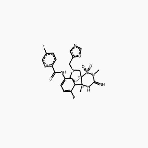 CN1C(=N)N[C@](C)(C2CC(NC(=O)c3ccc(F)cn3)=CC=C2F)[C@]2(CCN(Cc3cnco3)C2)S1(=O)=O